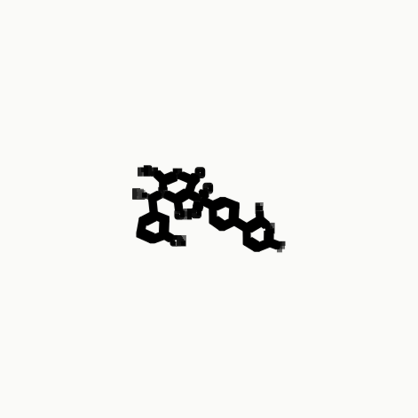 CCCCc1nc(=O)c(S(=O)(=O)c2ccc(-c3ccc(F)nc3F)cc2)c(O)n1[C@@H](CC)c1cccc(C#N)c1